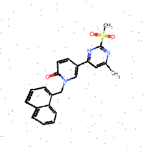 Cc1cc(-c2ccc(=O)n(Cc3cccc4ccccc34)c2)nc(S(C)(=O)=O)n1